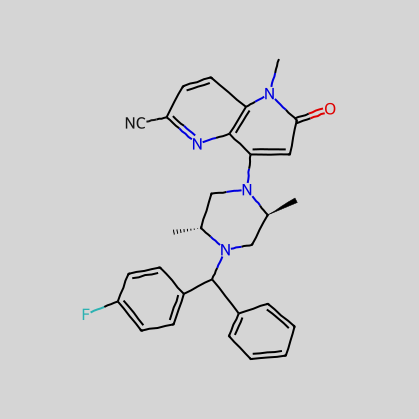 C[C@@H]1CN(c2cc(=O)n(C)c3ccc(C#N)nc23)[C@@H](C)CN1C(c1ccccc1)c1ccc(F)cc1